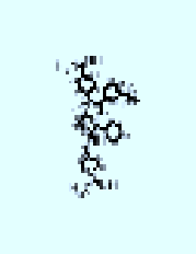 CC(=N)N1CCC(CNC(=O)C(C2CCCCC2)N(CC(Cc2ccc(C(=N)N)cc2)c2cccc(C(F)(F)F)c2)C(=O)C(F)(F)F)CC1